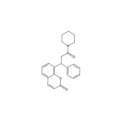 O=C(CC(c1ccccc1)c1cccc2ccc(=O)oc12)N1CCCCC1